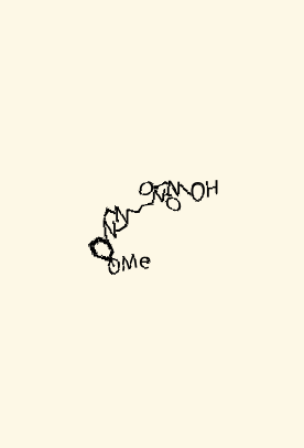 COc1cccc(N2CCN(CCCCN3C(=O)CN(CCO)C3=O)CC2)c1